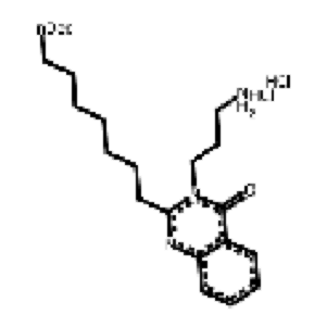 CCCCCCCCCCCCCCCCCc1nc2ccccc2c(=O)n1CCCN.Cl.Cl